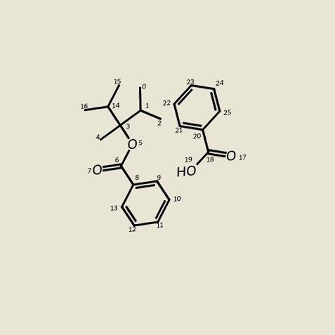 CC(C)C(C)(OC(=O)c1ccccc1)C(C)C.O=C(O)c1ccccc1